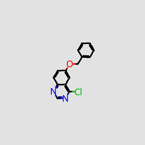 Clc1ncnc2ccc(OCc3ccccc3)cc12